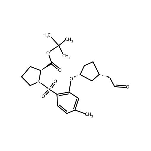 Cc1ccc(S(=O)(=O)N2CCC[C@H]2C(=O)OC(C)(C)C)c(O[C@@H]2CC[C@H](CC=O)C2)c1